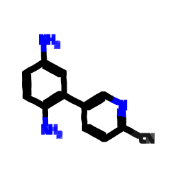 N#Cc1ccc(-c2cc(N)ccc2N)cn1